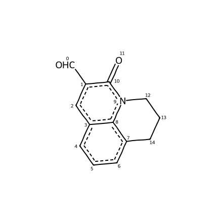 O=Cc1cc2cccc3c2n(c1=O)CCC3